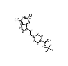 CC(C)(C)OC(=O)N1CCN(CCn2cnc3c(Cl)nc(Cl)nc32)CC1